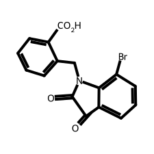 O=C(O)c1ccccc1CN1C(=O)C(=O)c2cccc(Br)c21